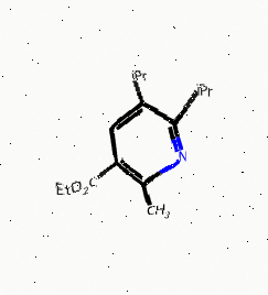 CCOC(=O)c1cc(C(C)C)c(C(C)C)nc1C